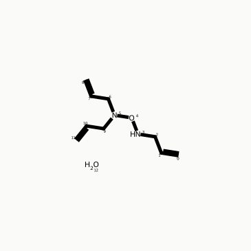 C=CCNON(CC=C)CC=C.O